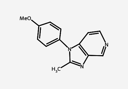 COc1ccc(-n2c(C)nc3cnccc32)cc1